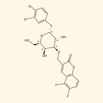 O=c1oc2ccc(F)c(F)c2cc1CO[C@@H]1[C@@H](O)[C@@H](Sc2ccc(Cl)c(Cl)c2)O[C@H](CO)[C@@H]1O